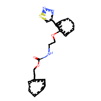 O=C(NCCOc1ccccc1-c1csnn1)OCc1ccccc1